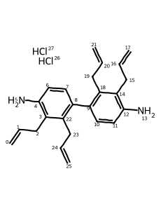 C=CCc1c(N)ccc(-c2ccc(N)c(CC=C)c2CC=C)c1CC=C.Cl.Cl